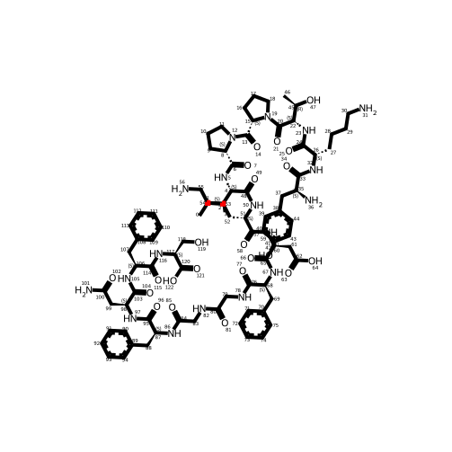 CC[C@H](C)[C@H](NC(=O)[C@@H]1CCCN1C(=O)[C@@H]1CCCN1C(=O)[C@@H](NC(=O)[C@H](CCCCN)NC(=O)[C@@H](N)Cc1ccc(O)cc1)[C@@H](C)O)C(=O)N[C@@H](CCCCN)C(=O)N[C@@H](CC(=O)O)C(=O)N[C@@H](Cc1ccccc1)C(=O)NCC(=O)NCC(=O)N[C@@H](Cc1ccccc1)C(=O)N[C@@H](CC(N)=O)C(=O)N[C@@H](Cc1ccccc1)C(=O)N[C@@H](CO)C(=O)O